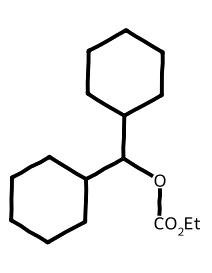 C[CH]OC(=O)OC(C1CCCCC1)C1CCCCC1